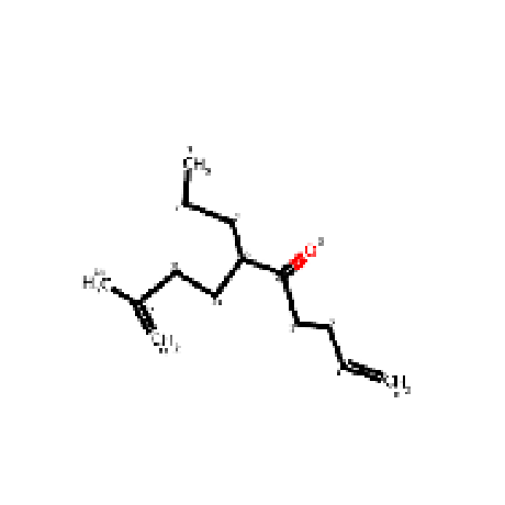 C=CCCC(=O)C(CCC)CCC(=C)C